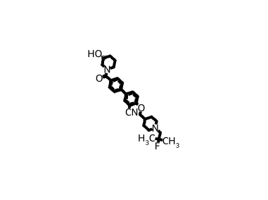 CC(C)(F)CN1CCC(COc2ccc(-c3ccc(C(=O)N4CCC[C@@H](O)C4)cc3)cc2C#N)CC1